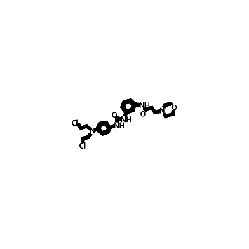 O=C(CCN1CCOCC1)Nc1cccc(NC(=O)Nc2ccc(N(CCCl)CCCl)cc2)c1